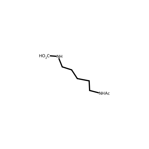 CC(=O)NCCCCCNC(=O)O